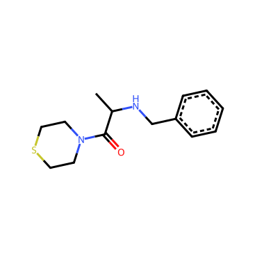 CC(NCc1ccccc1)C(=O)N1CCSCC1